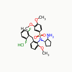 COc1ccc(S(=O)(=O)N(c2c(Cc3c(F)cccc3F)cccc2OC)[C@@H]2CCC[C@@H]2N)cc1OC.Cl